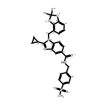 CS(=O)(=O)c1ccc(CNC(=O)c2ccc3c(c2)nc(C2CC2)n3Cc2cccc3c2OC(F)(F)O3)cc1